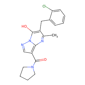 Cc1nc2c(C(=O)N3CCCC3)cnn2c(O)c1Cc1ccccc1Cl